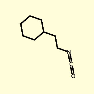 O=C=NCCC1CC[CH]CC1